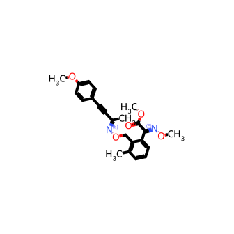 CO/N=C(/C(=O)OC)c1cccc(C)c1CO/N=C(\C)C#Cc1ccc(OC)cc1